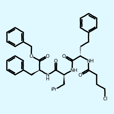 CC(C)C[C@H](NC(=O)[C@H](CCc1ccccc1)NC(=O)CCCCl)C(=O)N[C@@H](Cc1ccccc1)C(=O)OCc1ccccc1